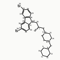 FC(CN1CCN(CC2CCCCC2)CC1)Cn1c2ccc(Br)cc2c2cc(Br)ccc21